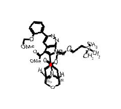 COCOc1ccccc1-c1cc2c(C(=O)OC)c(C3C[C@H]4COC[C@@H](C3)N4C(=O)OC(C)(C)C)n(COCC[Si](C)(C)C)c2nn1